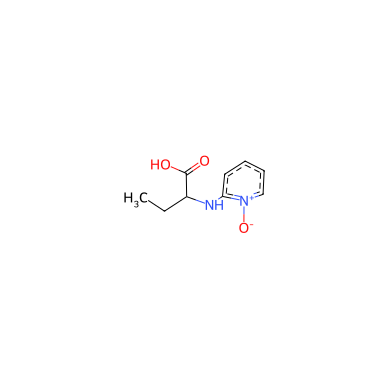 CCC(Nc1cccc[n+]1[O-])C(=O)O